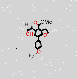 COC(=O)c1c(/C(C)=C\O)cc(-c2ccc(OC(F)(F)F)cc2)c2c1CCO2